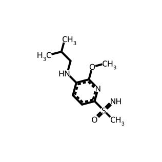 COc1nc(S(C)(=N)=O)ccc1NCC(C)C